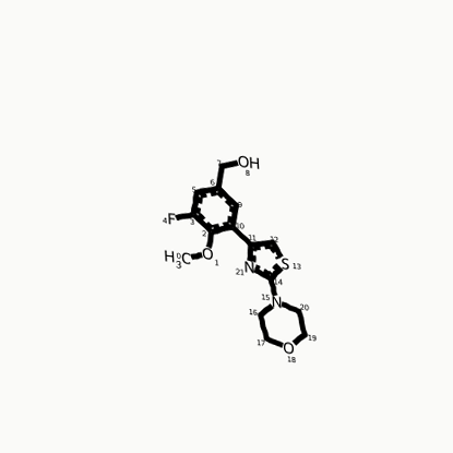 COc1c(F)cc(CO)cc1-c1csc(N2CCOCC2)n1